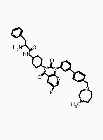 CN1CCCN(Cc2ccc(-c3cccc(-n4c(=O)n(C5CCC(NC(=O)[C@@H](N)Cc6ccccc6)CC5)c(=O)c5cc(F)cnc54)c3)cc2)CC1